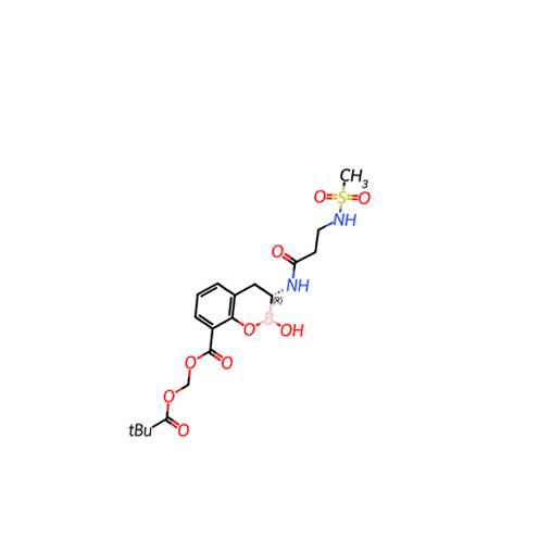 CC(C)(C)C(=O)OCOC(=O)c1cccc2c1OB(O)[C@@H](NC(=O)CCNS(C)(=O)=O)C2